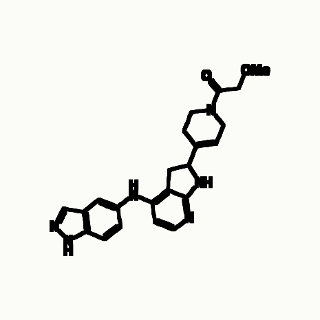 COCC(=O)N1CC=C(C2Cc3c(Nc4ccc5[nH]ncc5c4)ccnc3N2)CC1